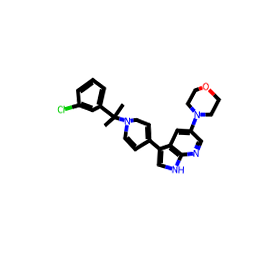 CC(C)(c1cccc(Cl)c1)N1C=CC(c2c[nH]c3ncc(N4CCOCC4)cc23)=CC1